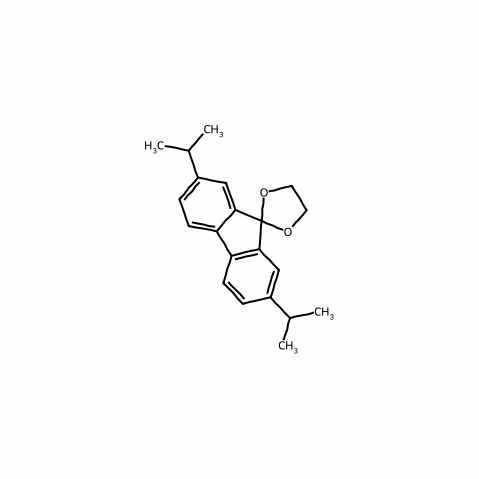 CC(C)c1ccc2c(c1)C1(OCCO1)c1cc(C(C)C)ccc1-2